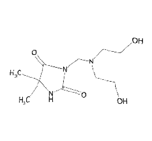 CC1(C)NC(=O)N(CN(CCO)CCO)C1=O